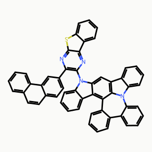 c1ccc2c(c1)-c1ccccc1-n1c3ccccc3c3cc4c(c-2c31)c1ccccc1n4-c1nc2c(nc1-c1ccc3ccc4ccccc4c3c1)sc1ccccc12